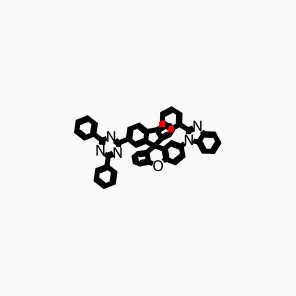 c1ccc(-c2nc(-c3ccccc3)nc(-c3ccc4c(c3)C3(c5ccccc5Oc5ccc(-n6c(-c7ccccc7)nc7ccccc76)cc53)c3ccccc3-4)n2)cc1